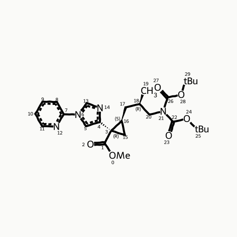 COC(=O)[C@]1(c2cn(-c3ccccn3)cn2)C[C@@H]1C[C@@H](C)CN(C(=O)OC(C)(C)C)C(=O)OC(C)(C)C